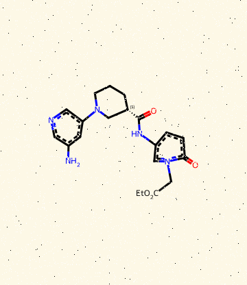 CCOC(=O)Cn1cc(NC(=O)[C@H]2CCCN(c3cncc(N)c3)C2)ccc1=O